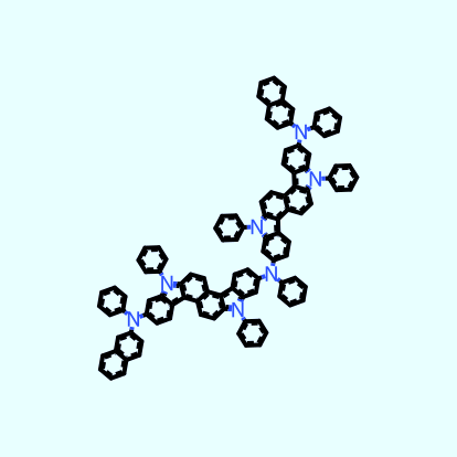 c1ccc(N(c2ccc3ccccc3c2)c2ccc3c4c5ccc6c(c5ccc4n(-c4ccccc4)c3c2)c2ccc(N(c3ccccc3)c3ccc4c5c7ccc8c(c7ccc5n(-c5ccccc5)c4c3)c3ccc(N(c4ccccc4)c4ccc5ccccc5c4)cc3n8-c3ccccc3)cc2n6-c2ccccc2)cc1